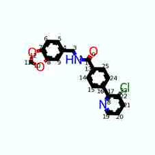 O=C(NCc1ccc2c(c1)OCO2)c1ccc(-c2ncccc2Cl)cc1